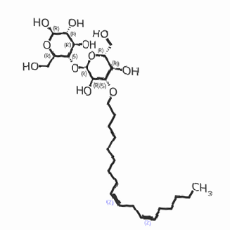 CCCCC/C=C\C/C=C\CCCCCCCCO[C@@H]1[C@@H](O)[C@@H](O[C@H]2[C@H](O)[C@@H](O)[C@H](O)O[C@@H]2CO)O[C@H](CO)[C@H]1O